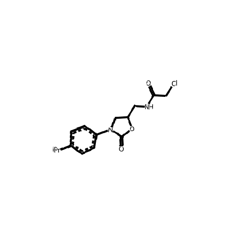 CC(C)c1ccc(N2CC(CNC(=O)CCl)OC2=O)cc1